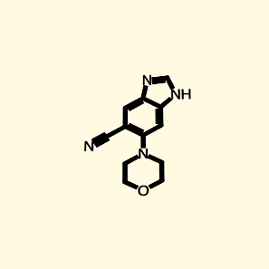 N#Cc1cc2nc[nH]c2cc1N1CCOCC1